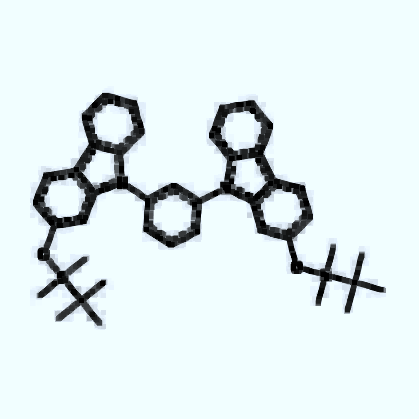 CC(C)(C)[Si](C)(C)Oc1ccc2c3ccccc3n(-c3cccc(-n4c5ccccc5c5ccc(O[Si](C)(C)C(C)(C)C)cc54)c3)c2c1